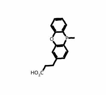 CP1c2ccccc2Oc2cc(CCC(=O)O)ccc21